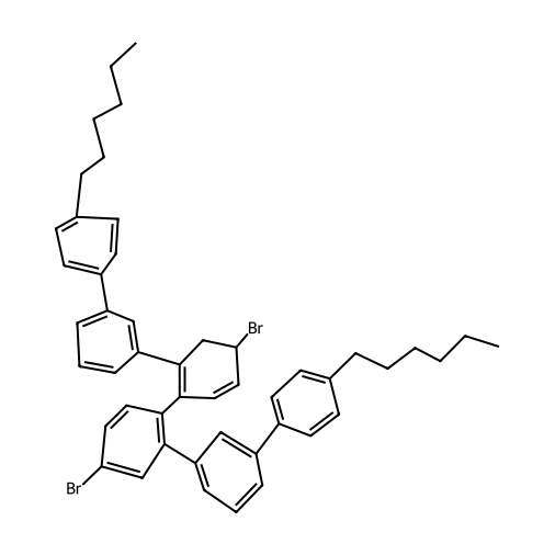 CCCCCCc1ccc(-c2cccc(C3=C(c4ccc(Br)cc4-c4cccc(-c5ccc(CCCCCC)cc5)c4)C=CC(Br)C3)c2)cc1